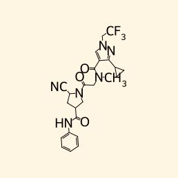 CN(CC(=O)N1CC(C(=O)Nc2ccccc2)CC1C#N)C(=O)c1cn(CC(F)(F)F)nc1C1CC1